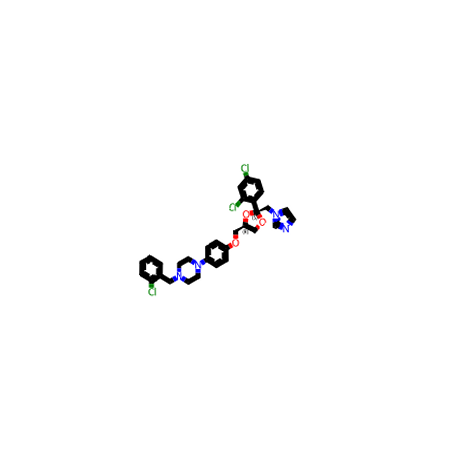 Clc1ccc([C@]2(Cn3ccnc3)OC[C@@H](COc3ccc(N4CCN(Cc5ccccc5Cl)CC4)cc3)O2)c(Cl)c1